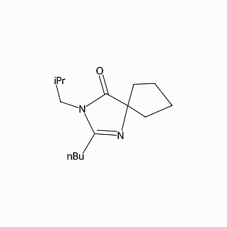 CCCCC1=NC2(CCCC2)C(=O)N1CC(C)C